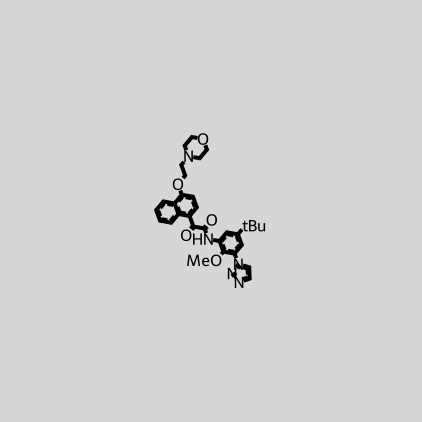 COc1c(NC(=O)C(=O)c2ccc(OCCN3CCOCC3)c3ccccc23)cc(C(C)(C)C)cc1-n1ccnn1